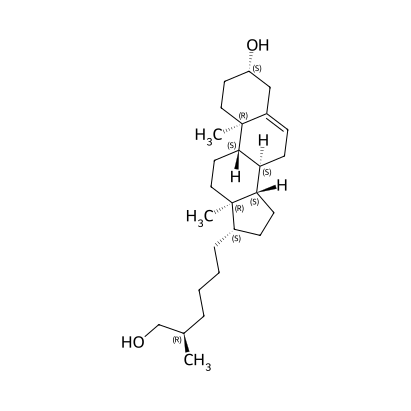 C[C@@H](CO)CCCC[C@H]1CC[C@H]2[C@@H]3CC=C4C[C@@H](O)CC[C@]4(C)[C@H]3CC[C@]12C